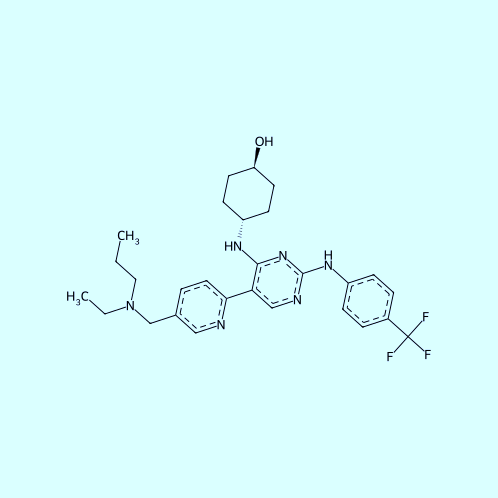 CCCN(CC)Cc1ccc(-c2cnc(Nc3ccc(C(F)(F)F)cc3)nc2N[C@H]2CC[C@H](O)CC2)nc1